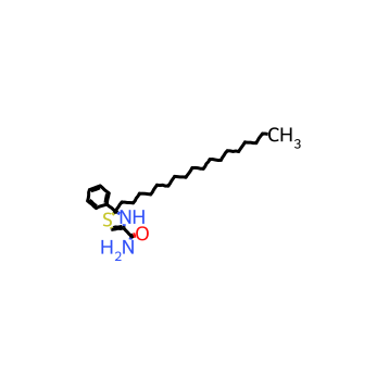 CCCCCCCCCCCCCCCCCCC1(c2ccccc2)NC(C(N)=O)=CS1